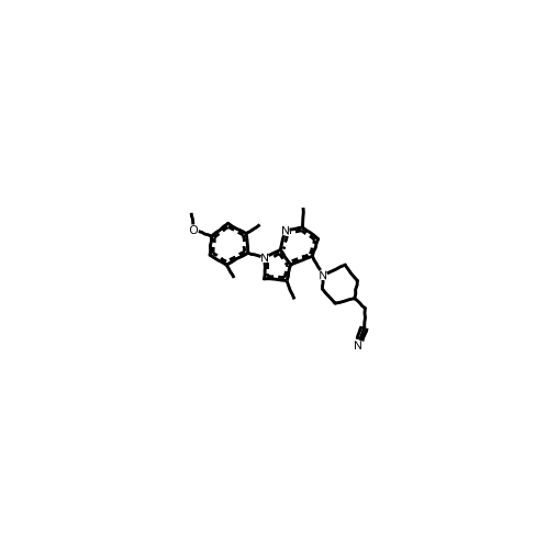 COc1cc(C)c(-n2cc(C)c3c(N4CCC(CC#N)CC4)cc(C)nc32)c(C)c1